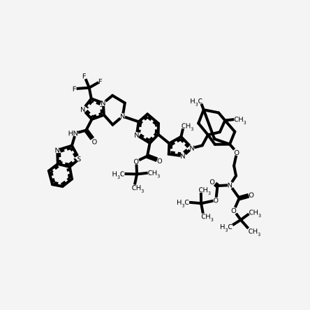 Cc1c(-c2ccc(N3CCn4c(C(F)(F)F)nc(C(=O)Nc5nc6ccccc6s5)c4C3)nc2C(=O)OC(C)(C)C)cnn1CC12CC3(C)CC(C)(C1)CC(OCCN(C(=O)OC(C)(C)C)C(=O)OC(C)(C)C)(C3)C2